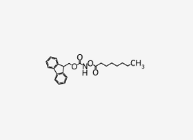 CCCCCCCC(=O)ONC(=O)OCC1c2ccccc2-c2ccccc21